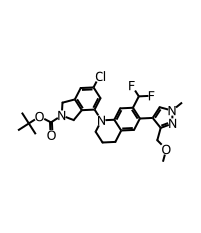 COCc1nn(C)cc1-c1cc2c(cc1C(F)F)N(c1cc(Cl)cc3c1CN(C(=O)OC(C)(C)C)C3)CCC2